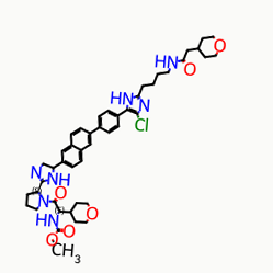 COC(=O)N[C@H](C(=O)N1CCC[C@H]1C1=NCC(c2ccc3cc(-c4ccc(-c5[nH]c(CCCCNC(=O)CC6CCOCC6)nc5Cl)cc4)ccc3c2)N1)C1CCOCC1